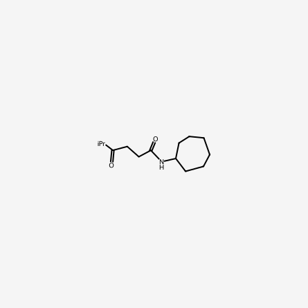 CC(C)C(=O)CCC(=O)NC1CCCCCC1